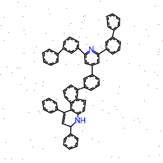 C1=C(c2ccccc2)c2c(ccc3c(-c4cccc(-c5cc(-c6cccc(-c7ccccc7)c6)nc(-c6cccc(-c7ccccc7)c6)c5)c4)cccc23)NC1c1ccccc1